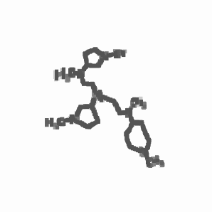 CC(C)N1CCC(N(C)CCN(CCN(C)C2CCN(C)CC2)C2CCN(C)C2)C1